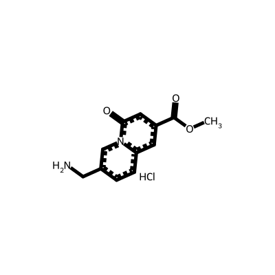 COC(=O)c1cc(=O)n2cc(CN)ccc2c1.Cl